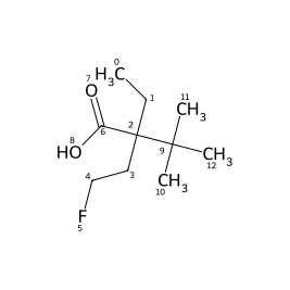 CCC(CCF)(C(=O)O)C(C)(C)C